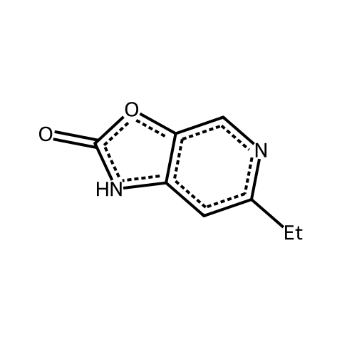 CCc1cc2[nH]c(=O)oc2cn1